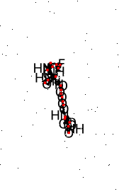 O=C1CCC(N2C(=O)c3ccc(NCCOCCOCCOCCOCCC(=O)N4CCN(c5ccc(C(=O)Nc6n[nH]c7ccc(Cc8cc(F)cc(F)c8)cc67)c(NC6CCOCC6)c5)CC4)cc3C2=O)C(=O)N1